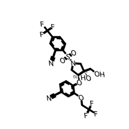 N#Cc1ccc(O[C@H]2CN(S(=O)(=O)c3ccc(C(F)(F)F)cc3C#N)C[C@@]2(O)CO)c(OCC(F)(F)F)c1